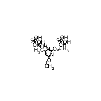 C.C.CCOc1cc(C)nc(OCC)n1.OP(O)(O)=S.OP(O)(O)=S